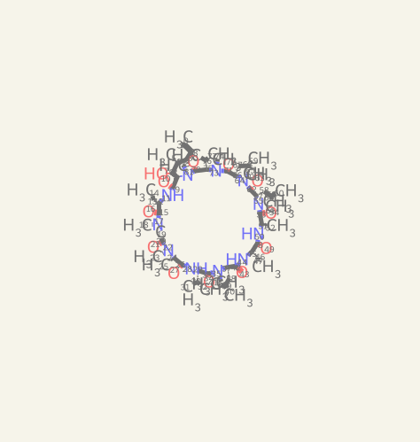 C/C=C/C[C@@H](C)[C@@H](O)[C@H]1C(=O)N[C@@H](CC)C(=O)N(C)CC(=O)N(C)[C@H](C)C(=O)N[C@@H](C(C)C)C(=O)N(C)[C@@H](CC(C)C)C(=O)N[C@@H](CC)C(=O)N[C@H](C)C(=O)N(C)[C@@H](CC(C)C)C(=O)N(C)[C@@H](CC(C)C)C(=O)N(C)[C@@H](C(C)C)C(=O)N1C